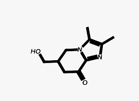 Cc1nc2n(c1C)CC(CO)CC2=O